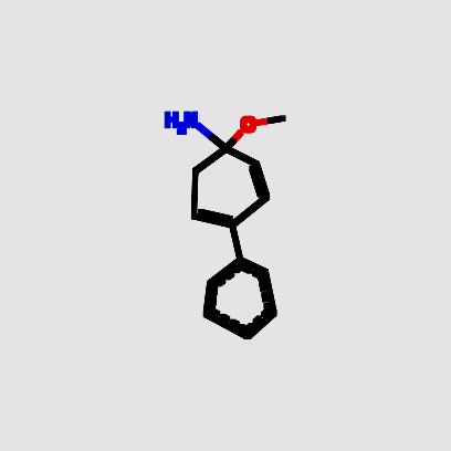 COC1(N)C=CC(c2ccccc2)=CC1